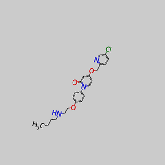 CCCCNCCOc1ccc(-n2ccc(OCc3ccc(Cl)cn3)cc2=O)cc1